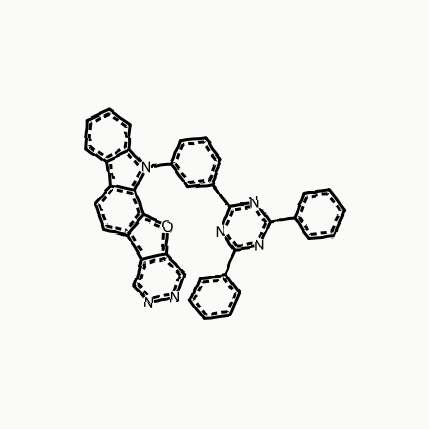 c1ccc(-c2nc(-c3ccccc3)nc(-c3cccc(-n4c5ccccc5c5ccc6c7cnncc7oc6c54)c3)n2)cc1